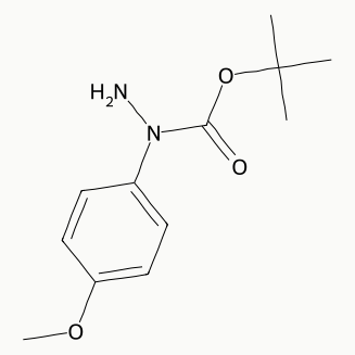 COc1ccc(N(N)C(=O)OC(C)(C)C)cc1